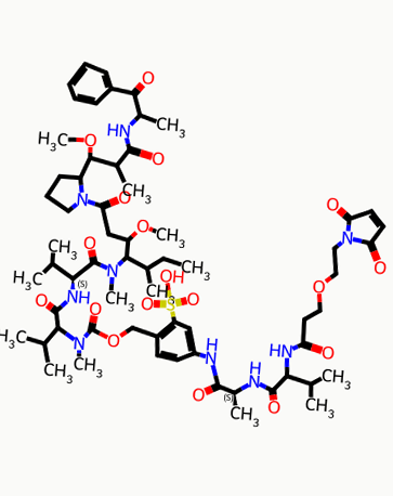 CCC(C)C(C(CC(=O)N1CCCC1C(OC)C(C)C(=O)NC(C)C(=O)c1ccccc1)OC)N(C)C(=O)[C@@H](NC(=O)C(C(C)C)N(C)C(=O)OCc1ccc(NC(=O)[C@H](C)NC(=O)C(NC(=O)CCOCCN2C(=O)C=CC2=O)C(C)C)cc1S(=O)(=O)O)C(C)C